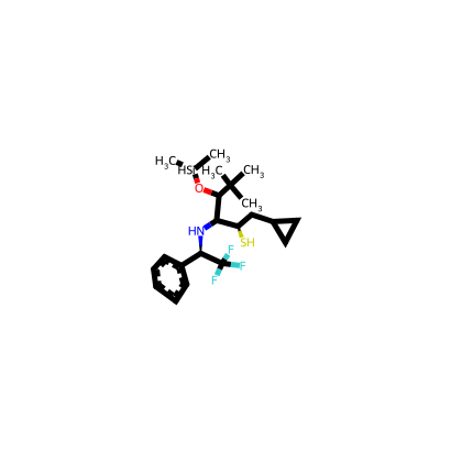 C[SiH](C)OC(C(N[C@H](c1ccccc1)C(F)(F)F)[C@H](S)CC1CC1)C(C)(C)C